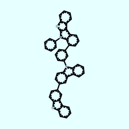 c1ccc(-n2c3oc4ccccc4c3c3cccc(-c4cccc(-n5c6ccccc6c6cc(-c7ccc8oc9ccccc9c8c7)ccc65)c4)c32)cc1